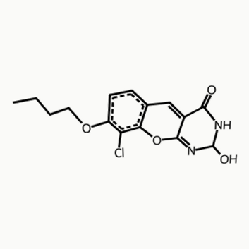 CCCCOc1ccc2c(c1Cl)OC1=NC(O)NC(=O)C1=C2